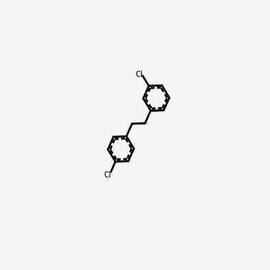 Clc1ccc(C[CH]c2cccc(Cl)c2)cc1